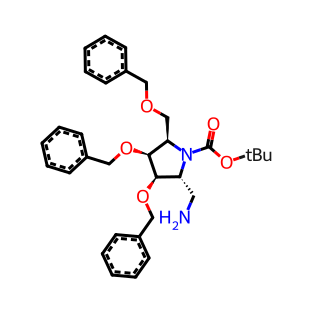 CC(C)(C)OC(=O)N1[C@H](COCc2ccccc2)[C@H](OCc2ccccc2)[C@H](OCc2ccccc2)[C@H]1CN